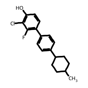 CC1CCC(c2ccc(-c3ccc(O)c(Cl)c3F)cc2)CC1